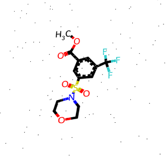 COC(=O)c1cc(C(F)(F)F)cc(S(=O)(=O)N2CCOCC2)c1